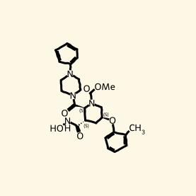 COC(=O)N1C[C@@H](Oc2ccccc2C)C[C@H](C(=O)NO)[C@H]1C(=O)N1CCN(c2ccccc2)CC1